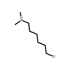 C[SiH](C)CCCCCCCl